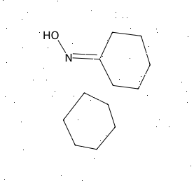 C1CCCCC1.ON=C1CCCCC1